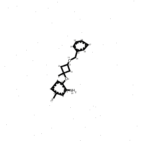 CC1(Oc2ccc(F)cc2N)CC(OCc2ccccc2)C1